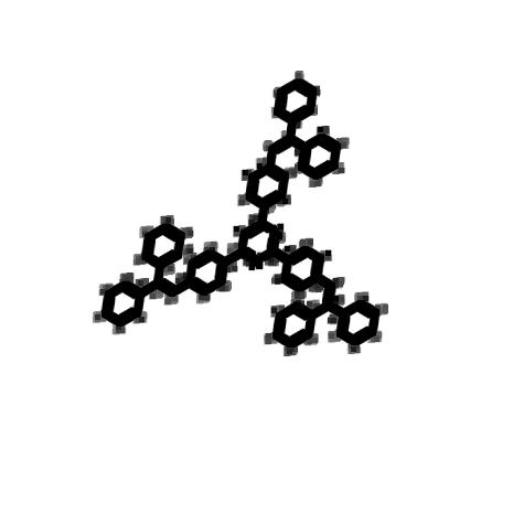 C(=C(c1ccccc1)c1ccccc1)c1ccc(-c2cc(-c3ccc(C=C(c4ccccc4)c4ccccc4)cc3)nc(-c3ccc(C=C(c4ccccc4)c4ccccc4)cc3)n2)cc1